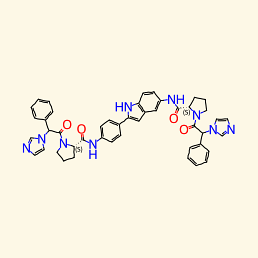 O=C(Nc1ccc(-c2cc3cc(NC(=O)[C@@H]4CCCN4C(=O)C(c4ccccc4)n4ccnc4)ccc3[nH]2)cc1)[C@@H]1CCCN1C(=O)C(c1ccccc1)n1ccnc1